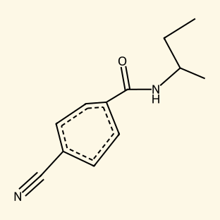 CCC(C)NC(=O)c1ccc(C#N)cc1